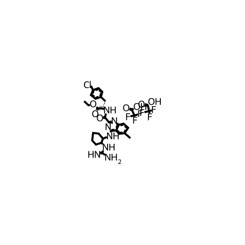 CCOC(=O)[C@H](Cc1ccc(Cl)cc1)NC(=O)c1nc(NC2CCCCC2NC(=N)N)c2cc(C)ccc2n1.O=C(O)C(F)(F)F.O=C(O)C(F)(F)F